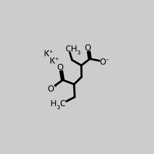 CCC(CC(CC)C(=O)[O-])C(=O)[O-].[K+].[K+]